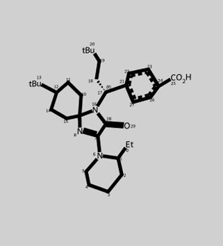 CCC1CCCCN1C1=NC2(CCC(C(C)(C)C)CC2)N([C@H](CCC(C)(C)C)c2ccc(C(=O)O)cc2)C1=O